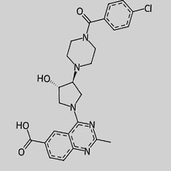 Cc1nc(N2C[C@H](O)[C@@H](N3CCN(C(=O)c4ccc(Cl)cc4)CC3)C2)c2cc(C(=O)O)ccc2n1